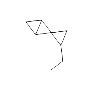 ICC1CC12C1CC12